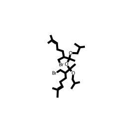 CC(C)=CCCC(CBr)C(C)(OCC(C)C)OC(C)(OCC(C)C)C(CBr)CCC=C(C)C